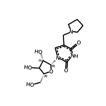 O=c1[nH]c(=O)n([C@@H]2O[C@H](CO)C(O)[C@@H]2O)cc1CN1CCCC1